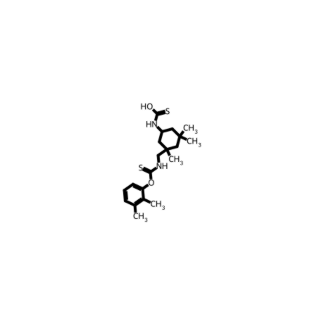 Cc1cccc(OC(=S)NCC2(C)CC(NC(O)=S)CC(C)(C)C2)c1C